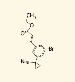 CCOC(=O)/C=C/c1cc(Br)cc(C2(C#N)CC2)c1